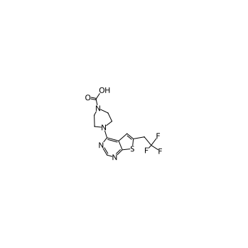 O=C(O)N1CCN(c2ncnc3sc(CC(F)(F)F)cc23)CC1